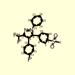 CS(=O)(=O)c1ccc(-c2c(-c3ccc(F)cc3)c(C(F)F)nn2-c2ccccc2)cc1